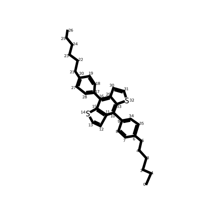 CCCCCCc1ccc(-c2c3ccsc3c(-c3ccc(CCCCCC)cc3)c3ccsc23)cc1